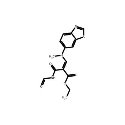 CCOC(=O)/C(=C/N(C)c1ccc2ncsc2c1)C(=O)NC=O